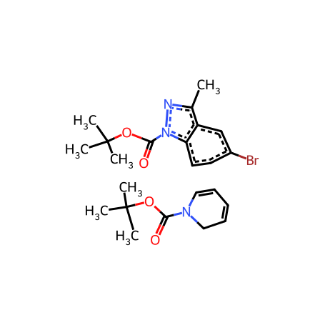 CC(C)(C)OC(=O)N1C=CC=CC1.Cc1nn(C(=O)OC(C)(C)C)c2ccc(Br)cc12